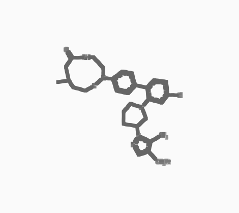 CCOC(=O)c1cnn(C2CCCN(c3cc(Cl)ccc3-c3ccc(N4CCCC(C)CC(=O)NCC4)cc3)C2)c1C(F)(F)F